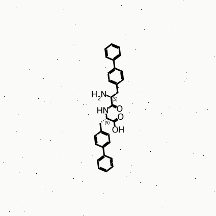 N[C@@H](Cc1ccc(-c2ccccc2)cc1)C(=O)N[C@@H](Cc1ccc(-c2ccccc2)cc1)C(=O)O